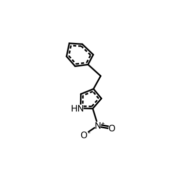 O=[N+]([O-])c1cc(Cc2ccccc2)c[nH]1